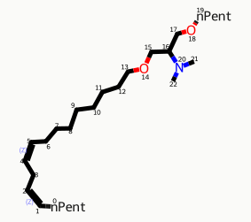 CCCCC/C=C\C/C=C\CCCCCCCCOCC(COCCCCC)N(C)C